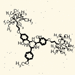 COc1ccc(C2NC(c3ccc(OCCC[Si](O[Si](C)(C)C)(O[Si](C)(C)C)O[Si](C)(C)C)cc3O)NC(c3ccc(OCCC[Si](O[Si](C)(C)C)(O[Si](C)(C)C)O[Si](C)(C)C)cc3O)N2)cc1